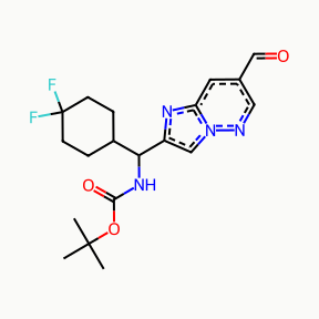 CC(C)(C)OC(=O)NC(c1cn2ncc(C=O)cc2n1)C1CCC(F)(F)CC1